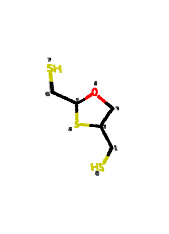 SCC1COC(CS)S1